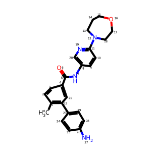 Cc1ccc(C(=O)Nc2ccc(N3CCCOCC3)nc2)cc1-c1ccc(N)cc1